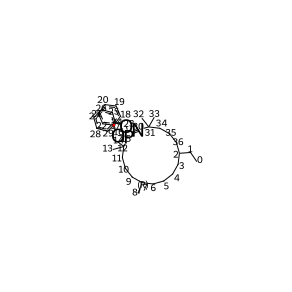 CCC1CCCC[C@@H](C)CCCC(C)(C)P(Oc2ccccc2)(Oc2ccccc2)=NC(C)(C)CCC1